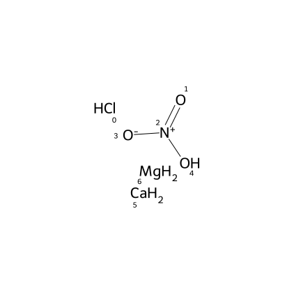 Cl.O=[N+]([O-])O.[CaH2].[MgH2]